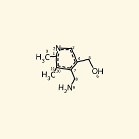 Cc1ncc(CO)c(CN)c1C